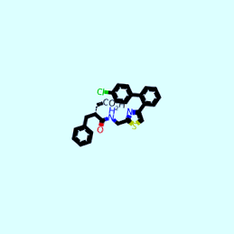 O=C(O)C[C@@H](Cc1ccccc1)C(=O)NCc1nc(-c2ccccc2-c2ccc(Cl)cc2)cs1